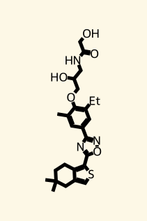 CCc1cc(-c2noc(-c3scc4c3CCC(C)(C)C4)n2)cc(C)c1OCC(O)CNC(=O)CO